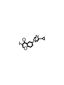 O=c1c(I)coc2ccc(-n3cnc(C4CC4)c3)cc12